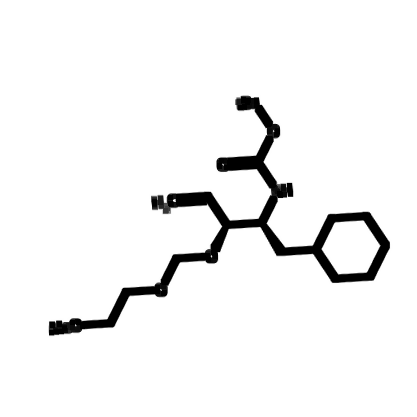 C=C[C@H](OCOCCOC)[C@H](CC1CCCCC1)NC(=O)OC(C)(C)C